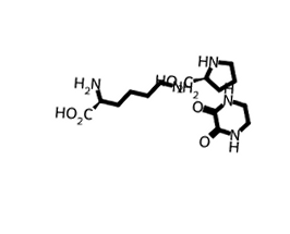 NCCCC[C@H](N)C(=O)O.O=C(O)[C@@H]1CCCN1.O=C1NCCNC1=O